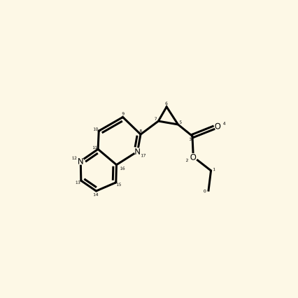 CCOC(=O)C1CC1c1ccc2ncccc2n1